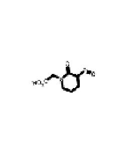 O=PC1CCCN(CC(=O)O)C1=O